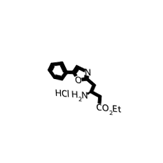 CCOC(=O)C[C@@H](N)Cc1ncc(-c2ccccc2)o1.Cl